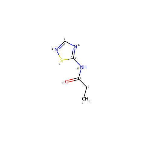 CCC(=O)Nc1ncns1